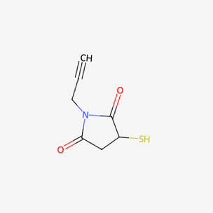 C#CCN1C(=O)CC(S)C1=O